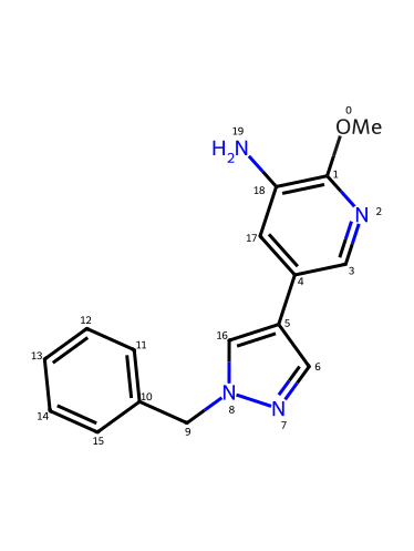 COc1ncc(-c2cnn(Cc3ccccc3)c2)cc1N